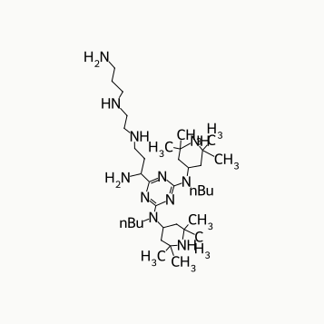 CCCCN(c1nc(C(N)CCNCCNCCCN)nc(N(CCCC)C2CC(C)(C)NC(C)(C)C2)n1)C1CC(C)(C)NC(C)(C)C1